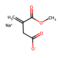 C=C(CC(=O)[O-])C(=O)OC.[Na+]